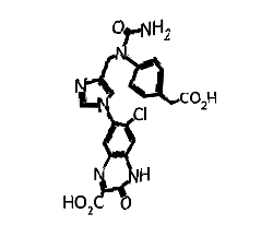 NC(=O)N(Cc1cn(-c2cc3nc(C(=O)O)c(=O)[nH]c3cc2Cl)cn1)c1ccc(CC(=O)O)cc1